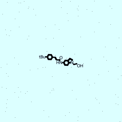 CC(C)(C)c1ccc(C=CC(=O)Nc2ccc3c(ccn3CCO)c2)cc1